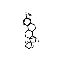 CC(=O)Oc1ccc2c(c1)CCC1C2CCC2(C)C1CCC21OCCO1